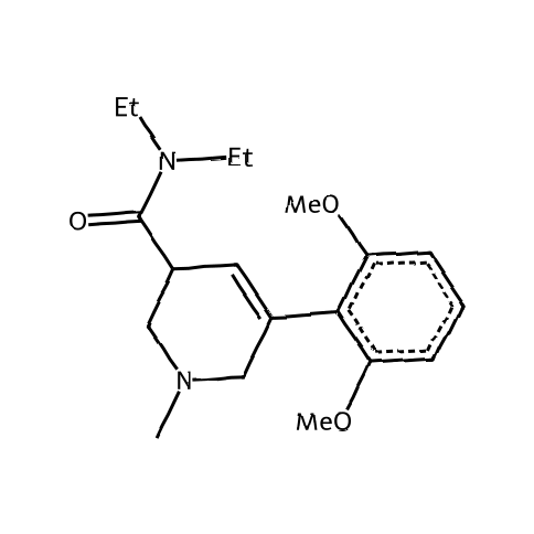 CCN(CC)C(=O)C1C=C(c2c(OC)cccc2OC)CN(C)C1